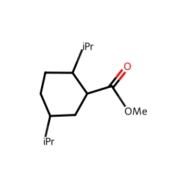 COC(=O)C1CC(C(C)C)CCC1C(C)C